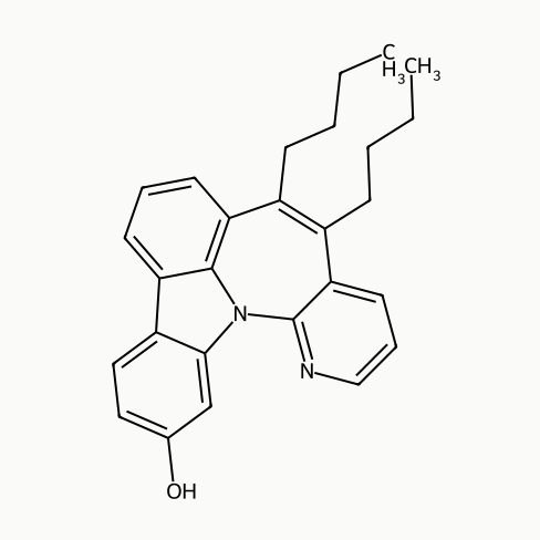 CCCCC1=C(CCCC)c2cccc3c4ccc(O)cc4n(c23)-c2ncccc21